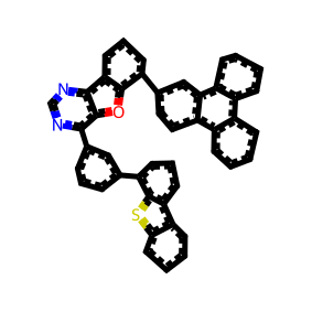 c1cc(-c2ncnc3c2oc2c(-c4ccc5c6ccccc6c6ccccc6c5c4)cccc23)cc(-c2cccc3c2sc2ccccc23)c1